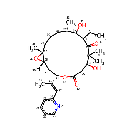 CCC1C(=O)C(C)(C)[C@@H](O)CC(=O)O[C@H](C(C)=Cc2ccccn2)C[C@@H]2O[C@]2(C)CCC[C@H](C)C1O